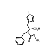 CC(C)(C)OC(=O)N(Cc1ccccc1)[C@@H](Cc1c[nH]cn1)C(=O)O